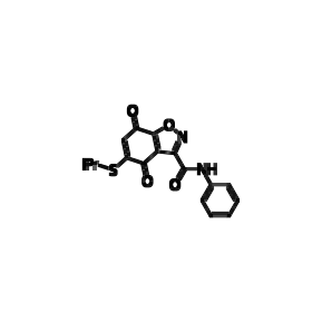 CC(C)SC1=CC(=O)c2onc(C(=O)Nc3ccccc3)c2C1=O